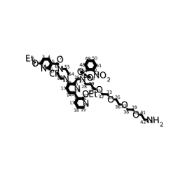 CCOc1ccc(C(=O)N2CCN(c3ccc(-c4cccnc4OCC)nc3CN(CCCOCCOCCOCCOCCN)S(=O)(=O)c3ccccc3[N+](=O)[O-])CC2)c(C(F)(F)F)n1